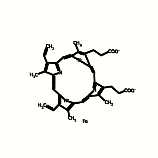 C=CC1=C(C)c2cc3[n-]c(cc4nc(cc5[n-]c(cc1n2)c(C)c5CCC(=O)[O-])C(CCC(=O)[O-])=C4C)c(C)c3C=C.[Fe]